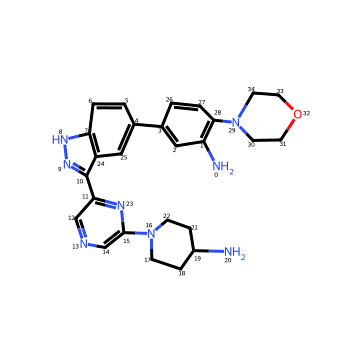 Nc1cc(-c2ccc3[nH]nc(-c4cncc(N5CCC(N)CC5)n4)c3c2)ccc1N1CCOCC1